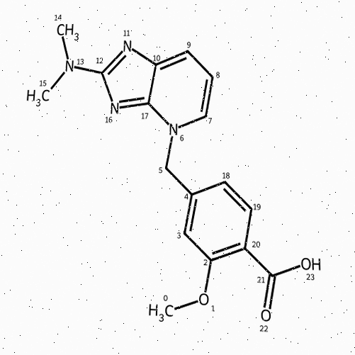 COc1cc(Cn2cccc3nc(N(C)C)nc2-3)ccc1C(=O)O